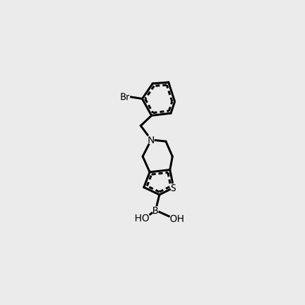 OB(O)c1cc2c(s1)CCN(Cc1ccccc1Br)C2